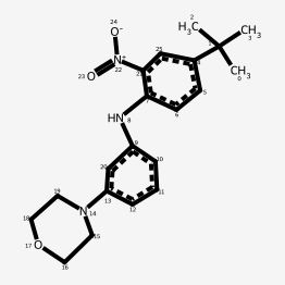 CC(C)(C)c1ccc(Nc2cccc(N3CCOCC3)c2)c([N+](=O)[O-])c1